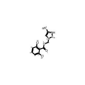 CCCC1=CN(COC(=O)c2c(Cl)cccc2Cl)SN1